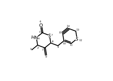 C=C1C(C)NC(=O)SC1CC1=CSCC#C1